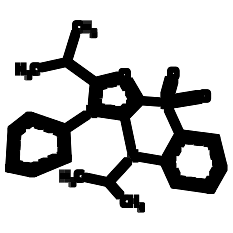 CC(C)c1oc2c([n+]1-c1ccccc1)N(C(C)C)c1ccccc1S2(=O)=O